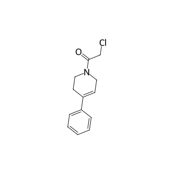 O=C(CCl)N1CC=C(c2ccccc2)CC1